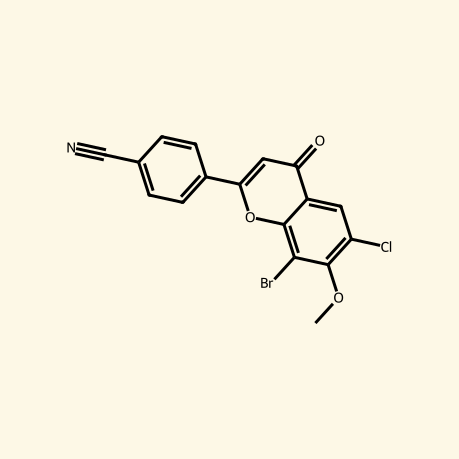 COc1c(Cl)cc2c(=O)cc(-c3ccc(C#N)cc3)oc2c1Br